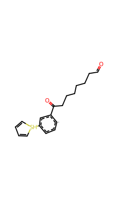 O=CCCCCCCC(=O)c1[c]ccc([SH]2C=CC=C2)c1